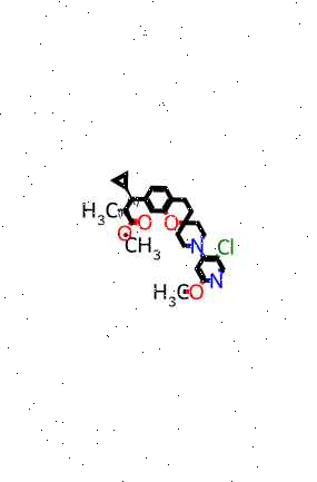 COC(=O)[C@H](C)[C@H](c1ccc2c(c1)OC1(CC2)CCN(c2cc(OC)ncc2Cl)CC1)C1CC1